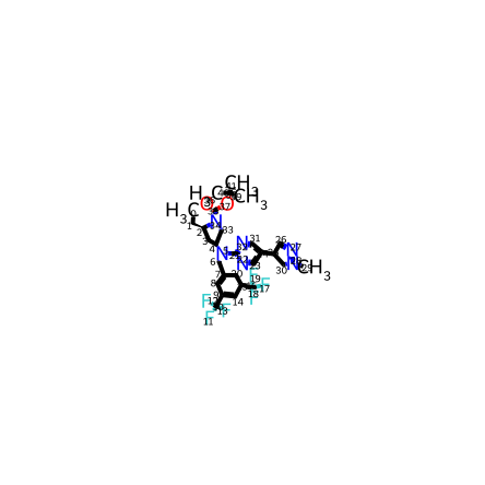 CC[C@@H]1C[C@H](N(CC2=CC(C(F)(F)F)=CC(C(F)(F)F)C2)c2ncc(C3C=NN(C)C3)cn2)CN1C(=O)OC(C)(C)C